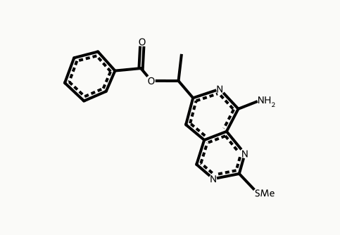 CSc1ncc2cc(C(C)OC(=O)c3ccccc3)nc(N)c2n1